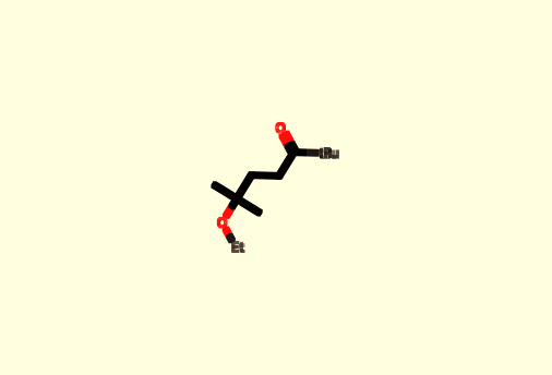 CCOC(C)(C)CCC(=O)C(C)(C)C